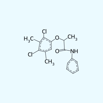 Cc1cc(OC(C)C(=O)Nc2ccccc2)c(Cl)c(C)c1Cl